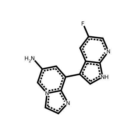 Nc1cc(-c2c[nH]c3ncc(F)cc23)c2nccn2c1